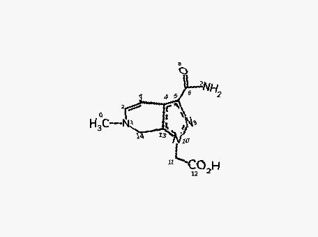 CN1C=Cc2c(C(N)=O)nn(CC(=O)O)c2C1